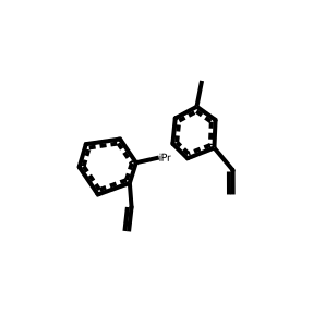 C=Cc1cccc(C)c1.C=Cc1ccccc1C(C)C